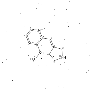 COc1cccnc1/C=C1\CCNC1